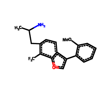 COc1ccccc1-c1coc2c(C(F)(F)F)c(CC(C)N)ccc12